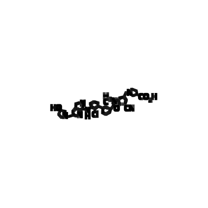 Cc1c(-c2nc3cc(CN4CC[C@@H](C(=O)O)C4)cc(C#N)c3o2)cccc1-c1cccc(Nc2nccc3cc(CN4CC[C@@H](O)C4)cnc23)c1Cl